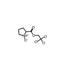 O=C(OCC(Cl)(Cl)Cl)C1CCC[NH+]1[O-]